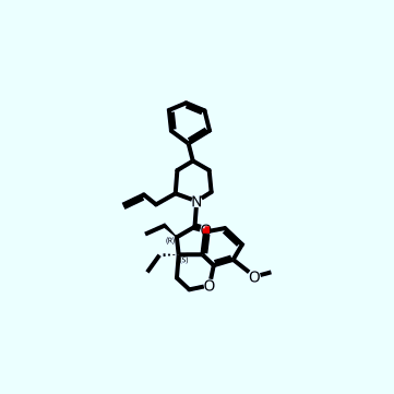 C=CCC1CC(c2ccccc2)CCN1C(=O)[C@H](CC)[C@]1(CC)CCOc2c(OC)cccc21